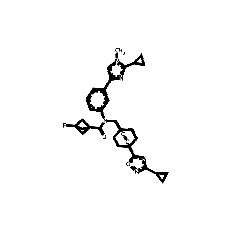 Cn1cc(-c2cccc(N(CC34CCC(c5nc(C6CC6)no5)(CC3)CC4)C(=O)C34CC(F)(C3)C4)c2)nc1C1CC1